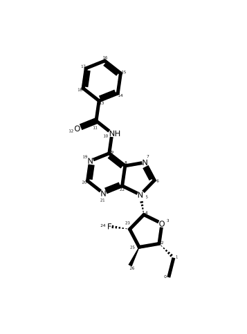 CC[C@H]1O[C@@H](n2cnc3c(NC(=O)c4ccccc4)ncnc32)[C@@H](F)[C@@H]1C